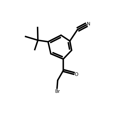 CC(C)(C)c1cc(C#N)cc(C(=O)CBr)c1